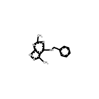 Cc1nc(NCc2ccccc2)c2c(C)noc2n1